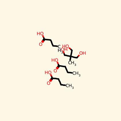 CC(CO)(CO)CO.CCCC(=O)O.CCCC(=O)O.CCCC(=O)O